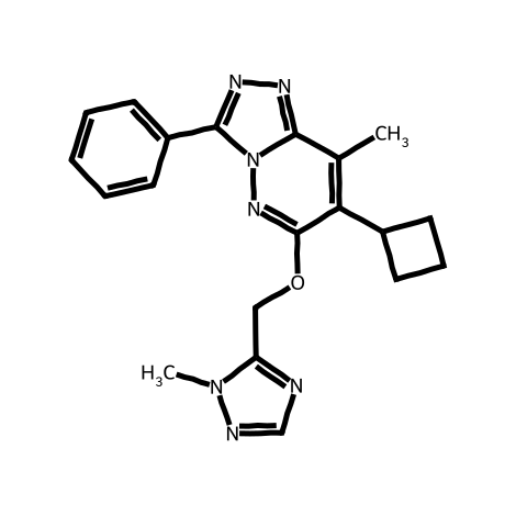 Cc1c(C2CCC2)c(OCc2ncnn2C)nn2c(-c3ccccc3)nnc12